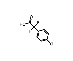 O=C(O)C(F)(F)c1ccc(Cl)cc1